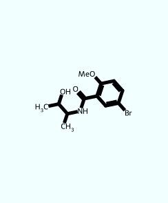 COc1ccc(Br)cc1C(=O)NC(C)C(C)O